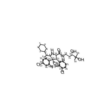 CC(C1CCCCC1)C1NC(C(=O)NCC[C@H](O)C(C)(C)O)C(c2cccc(Cl)c2F)C1(C#N)c1ccc(Cl)cc1F